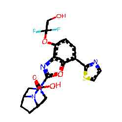 O=C(O)N1C2CCC1CN(c1nc3c(OC(F)(F)CO)ccc(-c4nccs4)c3o1)C2